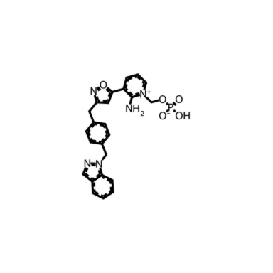 Nc1c(-c2cc(Cc3ccc(Cn4ncc5ccccc54)cc3)no2)ccc[n+]1COP(=O)([O-])O